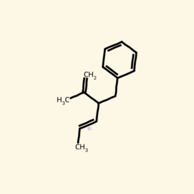 C=C(C)C(/C=C/C)Cc1ccccc1